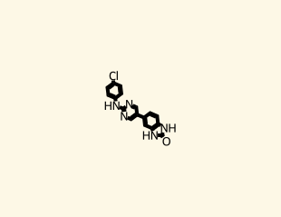 O=c1[nH]c2ccc(-c3cnc(Nc4ccc(Cl)cc4)nc3)cc2[nH]1